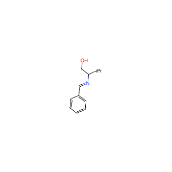 CC(C)C(CO)N=Cc1ccccc1